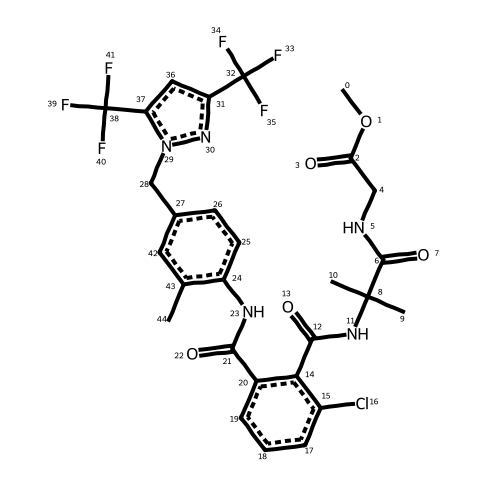 COC(=O)CNC(=O)C(C)(C)NC(=O)c1c(Cl)cccc1C(=O)Nc1ccc(Cn2nc(C(F)(F)F)cc2C(F)(F)F)cc1C